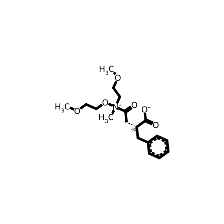 COCCO[N+](C)(CCOC)C(=O)C[C@@H](Cc1ccccc1)C(=O)[O-]